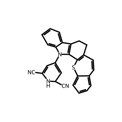 N#CC1=CC(n2c3c(c4ccccc42)CCC2=C3Sc3ccccc3C=C2)=CC(C#N)N1